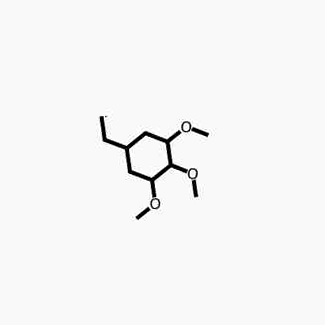 [CH2]CC1CC(OC)C(OC)C(OC)C1